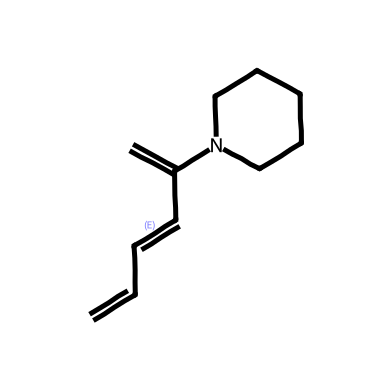 C=C/C=C/C(=C)N1CCCCC1